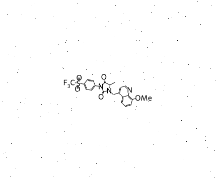 COc1cccc2c(CN3C(=O)N(c4ccc(S(=O)(=O)C(F)(F)F)cc4)C(=O)C3C)ccnc12